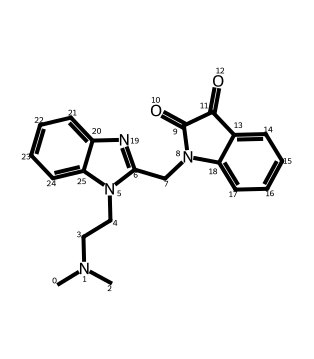 CN(C)CCn1c(CN2C(=O)C(=O)c3ccccc32)nc2ccccc21